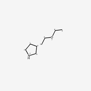 C1CCNC1.CCOCC